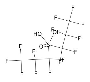 O=S(O)(O)(C(F)(F)C(F)(F)C(F)(F)F)C(F)(F)C(F)(F)C(F)(F)F